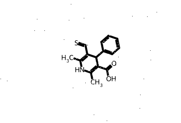 CC1=C([C]=S)C(c2ccccc2)C(C(=O)O)=C(C)N1